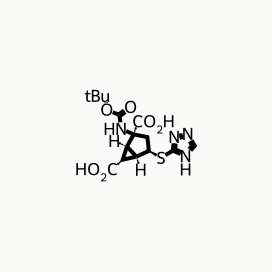 CC(C)(C)OC(=O)N[C@@]1(C(=O)O)C[C@@H](Sc2nnc[nH]2)[C@H]2[C@H](C(=O)O)[C@H]21